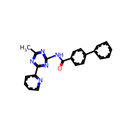 Cc1nc(NC(=O)c2ccc(-c3ccccc3)cc2)nc(-c2ccccn2)n1